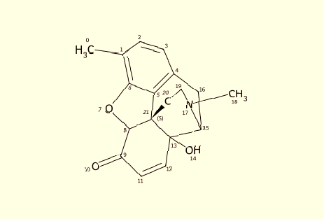 Cc1ccc2c3c1OC1C(=O)C=CC4(O)C(C2)N(C)CC[C@]314